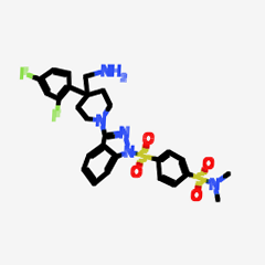 CN(C)S(=O)(=O)c1ccc(S(=O)(=O)n2nc(N3CCC(CN)(c4ccc(F)cc4F)CC3)c3ccccc32)cc1